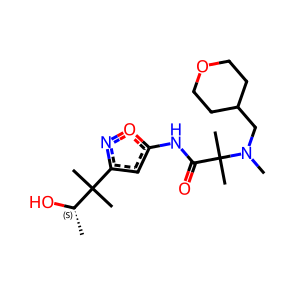 C[C@H](O)C(C)(C)c1cc(NC(=O)C(C)(C)N(C)CC2CCOCC2)on1